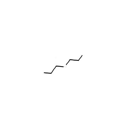 Cl.SCCNCCS